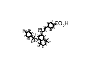 CC1(C)CCC(C)(C)c2c(OC(C)(C)c3ccc(F)cc3)cc(C(=O)/C=C/c3ccc(C(=O)O)cc3)cc21